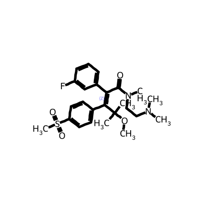 COC(C)(C)/C(=C(\C(=O)N(C)CCN(C)C)c1cccc(F)c1)c1ccc(S(C)(=O)=O)cc1